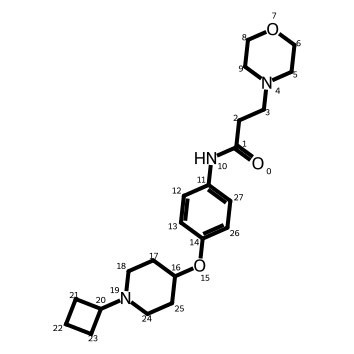 O=C(CCN1CCOCC1)Nc1ccc(OC2CCN(C3CCC3)CC2)cc1